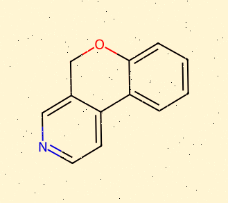 c1ccc2c(c1)OCc1cnccc1-2